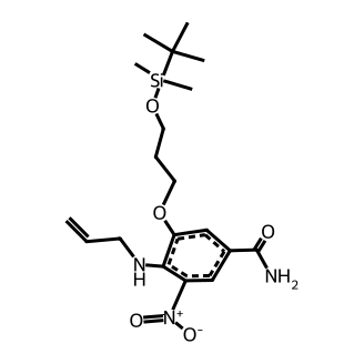 C=CCNc1c(OCCCO[Si](C)(C)C(C)(C)C)cc(C(N)=O)cc1[N+](=O)[O-]